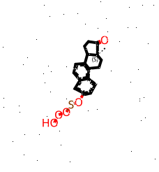 C[C@]12CCc3c(ccc4cc(OSOOO)ccc34)C1CCC2=O